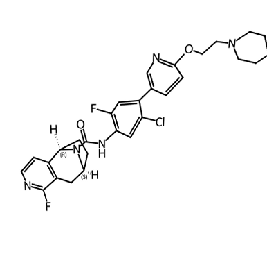 O=C(Nc1cc(Cl)c(-c2ccc(OCCN3CCCCC3)nc2)cc1F)N1[C@H]2CC[C@@H]1c1ccnc(F)c1C2